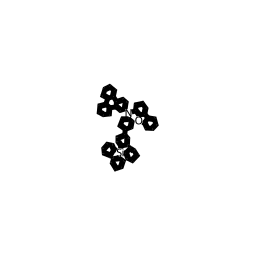 c1ccc([Si](c2ccccc2)(c2ccccc2)c2ccc(-c3ccc(N(c4ccc5c6ccccc6c6ccccc6c5c4)c4cccc5c4oc4ccccc45)cc3)cc2)cc1